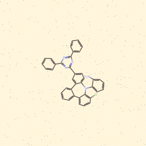 Nc1ccccc1N1c2ccc(-c3nc(-c4ccccc4)nc(-c4ccccc4)n3)cc2-c2ccccc2-c2cccc(Cl)c21